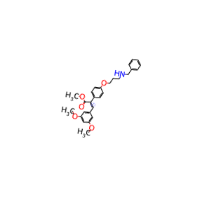 COC(=O)/C(=C\c1cc(OC)cc(OC)c1)c1ccc(OCCCNCc2ccccc2)cc1